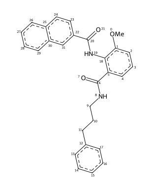 COc1cccc(C(=O)NCCCc2ccccc2)c1NC(=O)c1ccc2ccccc2c1